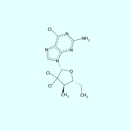 CC[C@H]1O[C@@H](n2cnc3c(Cl)nc(N)nc32)C(Cl)(Cl)[C@@H]1C